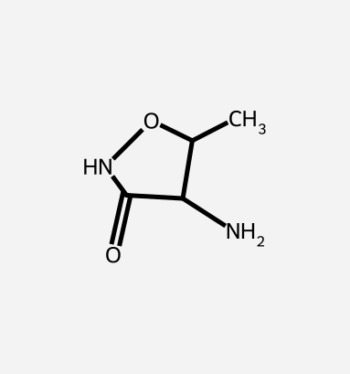 CC1ONC(=O)C1N